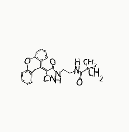 C=C(C)C(=O)NCCNC(=O)C(C#N)=C1c2ccccc2Oc2ccccc21